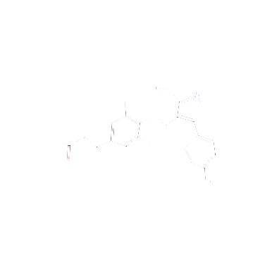 CCC(=O)CCc1cc(F)c(OCc2c(OC)nsc2-c2ccc(OC)cc2)c(F)c1